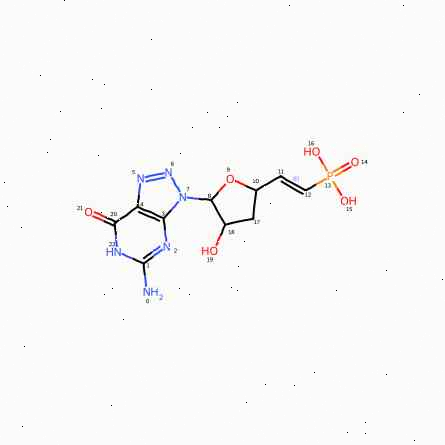 Nc1nc2c(nnn2C2OC(/C=C/P(=O)(O)O)CC2O)c(=O)[nH]1